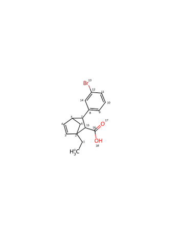 CCC12C=CC(C1)C(c1cccc(Br)c1)C2C(=O)O